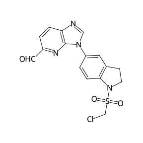 O=Cc1ccc2ncn(-c3ccc4c(c3)CCN4S(=O)(=O)CCl)c2n1